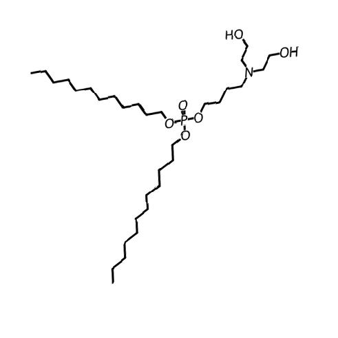 CCCCCCCCCCCCOP(=O)(OCCCCCCCCCCCC)OCCCCN(CCO)CCO